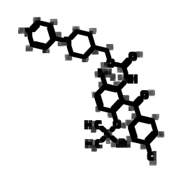 CC(C)(C)[Si](C)(C)Oc1ccc(N)c(NC(=O)OCC2CCN(c3ccncc3)CC2)c1C(=O)c1ccc(Cl)cc1